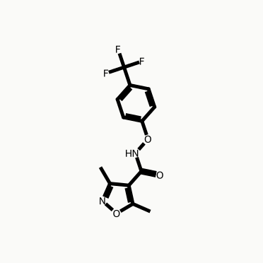 Cc1noc(C)c1C(=O)NOc1ccc(C(F)(F)F)cc1